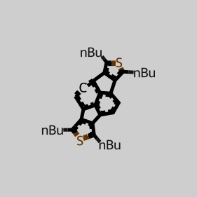 CCCCc1sc(CCCC)c2c1-c1ccc3c4c(ccc-2c14)-c1c(CCCC)sc(CCCC)c1-3